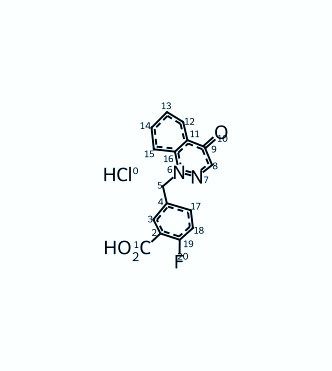 Cl.O=C(O)c1cc(Cn2ncc(=O)c3ccccc32)ccc1F